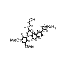 COc1cc(OC)c(F)c(N(CC(=O)NCCO)c2ccc3ncc(-c4cnn(C)c4)nc3n2)c1